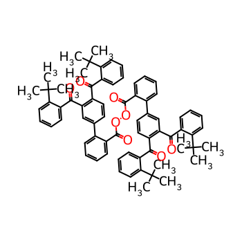 CC(C)(C)c1ccccc1C(=O)c1ccc(-c2ccccc2C(=O)OOC(=O)c2ccccc2-c2ccc(C(=O)c3ccccc3C(C)(C)C)c(C(=O)c3ccccc3C(C)(C)C)c2)cc1C(=O)c1ccccc1C(C)(C)C